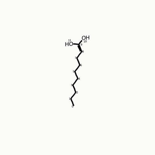 CCCCCCCCC=C(O)O